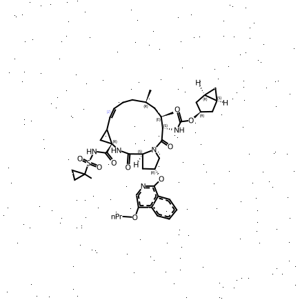 CCCOc1cnc(O[C@@H]2C[C@H]3C(=O)N[C@]4(C(=O)NS(=O)(=O)C5(C)CC5)CC4/C=C\CC[C@@H](C)C[C@@H](C)[C@H](NC(=O)O[C@@H]4C[C@@H]5C[C@@H]5C4)C(=O)N3C2)c2ccccc12